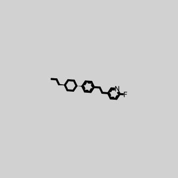 CCC[C@H]1CC[C@H](c2ccc(CCc3ccc(F)nc3)cc2)CC1